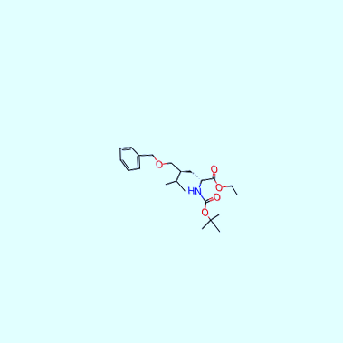 CCOC(=O)[C@@H](C[C@H](COCc1ccccc1)C(C)C)NC(=O)OC(C)(C)C